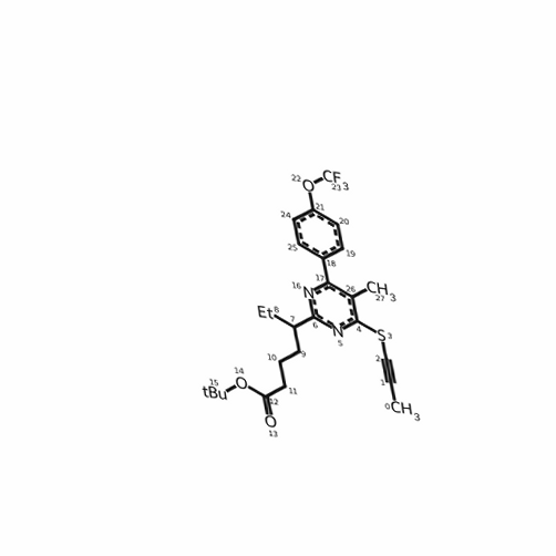 CC#CSc1nc(C(CC)CCCC(=O)OC(C)(C)C)nc(-c2ccc(OC(F)(F)F)cc2)c1C